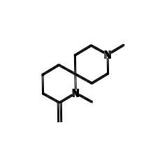 C=C1CCCC2(CCN(C)CC2)N1C